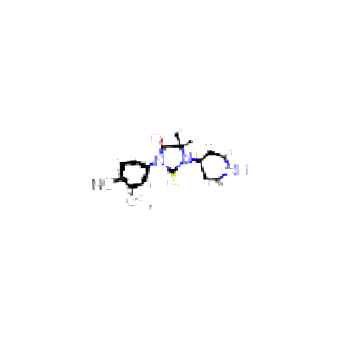 CC1(C)C(=O)N(c2ccc(C#N)c(C(F)(F)F)c2)C(=S)N1C1CCNCC1